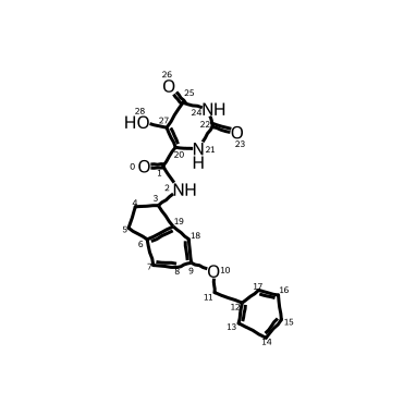 O=C(NC1CCc2ccc(OCc3ccccc3)cc21)c1[nH]c(=O)[nH]c(=O)c1O